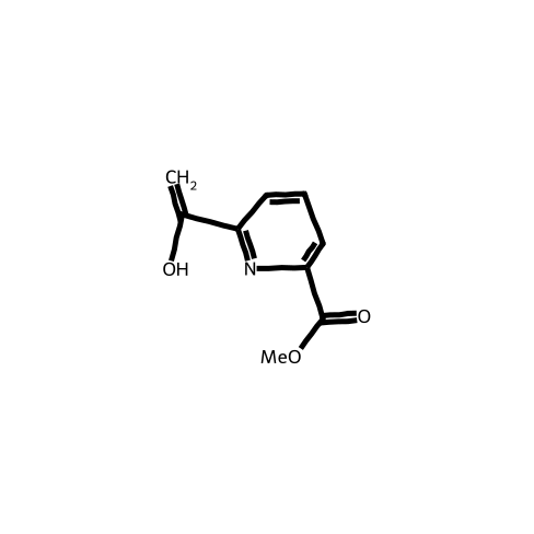 C=C(O)c1cccc(C(=O)OC)n1